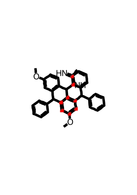 COc1ccc(C(C(=N)C(C)=N)c2ccc(OC)cc2C(c2ccccc2)c2ccccc2)c(C(c2ccccc2)c2ccccc2)c1